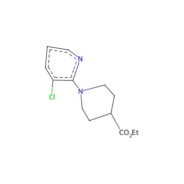 CCOC(=O)C1CCN(c2ncccc2Cl)CC1